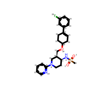 CS(=O)(=O)N[C@H]1CCN(c2ccccn2)C[C@H]1COC1CC=C(c2cccc(F)c2)CC1